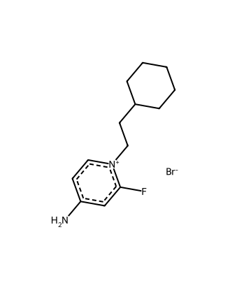 Nc1cc[n+](CCC2CCCCC2)c(F)c1.[Br-]